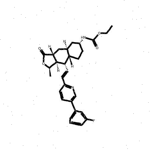 CCOC(=O)N[C@@H]1CC[C@H]2[C@H](C1)C[C@H]1C(=O)O[C@H](C)[C@@H]1[C@H]2/C=C/c1ccc(-c2cccc(F)c2)cn1